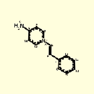 Nc1cc[n+](C=Cc2ccccc2)cc1